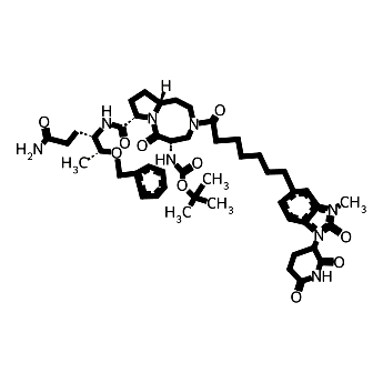 C[C@@H](OCc1ccccc1)[C@H](CCC(N)=O)NC(=O)[C@@H]1CC[C@@H]2CCN(C(=O)CCCCCCc3ccc4c(c3)n(C)c(=O)n4C3CCC(=O)NC3=O)C[C@H](NC(=O)OC(C)(C)C)C(=O)N21